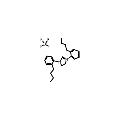 CCCCc1ccccc1N1C=[N+](c2ccccc2CCCC)CC1.F[B-](F)(F)F